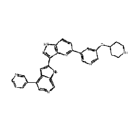 c1cncc(-c2cncc3[nH]c(-c4n[nH]c5ccc(-c6cncc(OC7CCNCC7)c6)nc45)cc23)c1